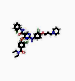 CCN(CC)C(=O)c1ccc(Oc2nc(Nc3ccc(OCCCN4CCCCC4)c(F)c3)ncc2C(=O)Nc2ccccc2F)c(Cl)c1